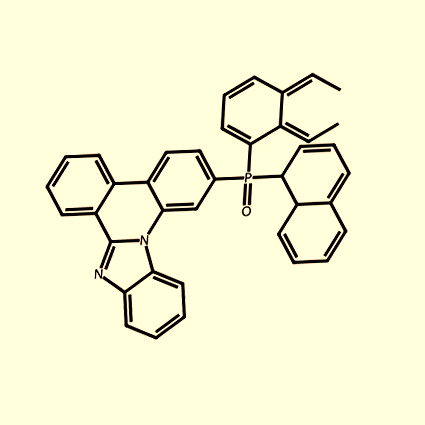 C/C=c1/cccc(P(=O)(c2ccc3c4ccccc4c4nc5ccccc5n4c3c2)C2C=CC=C3C=CC=CC32)/c1=C/C